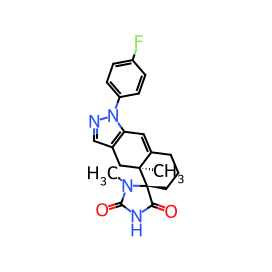 CN1C(=O)NC(=O)[C@]12CCCC1=Cc3c(cnn3-c3ccc(F)cc3)C[C@@]12C